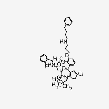 COc1c(OCCCNCCCCc2ccccc2)cccc1[C@@H]1O[C@@H](CC(=O)NCc2ccccc2F)C(=O)N(CC(C)(C)C)c2ccc(Cl)cc21